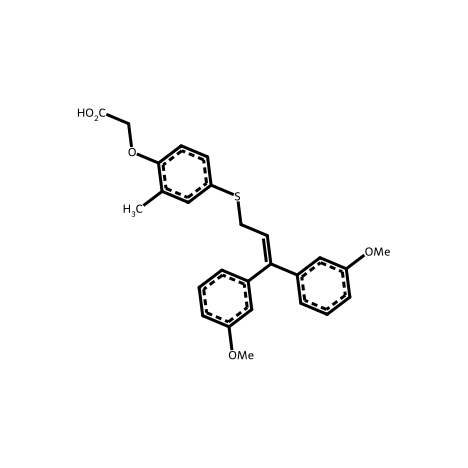 COc1cccc(C(=CCSc2ccc(OCC(=O)O)c(C)c2)c2cccc(OC)c2)c1